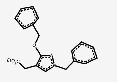 CCOC(=O)Cc1cn(Cc2ccccc2)nc1OCc1ccccc1